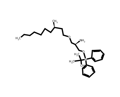 CCCCCCC[C@@H](C)CCOC[C@@H](N)CO[Si](c1ccccc1)(c1ccccc1)C(C)(C)C